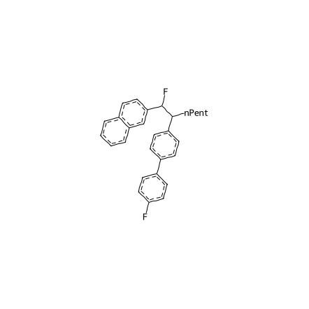 CCCCCC(c1ccc(-c2ccc(F)cc2)cc1)C(F)c1ccc2ccccc2c1